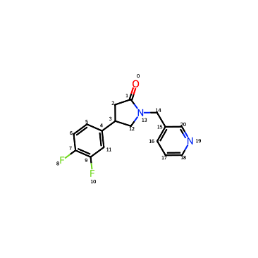 O=C1CC(c2ccc(F)c(F)c2)CN1Cc1cccnc1